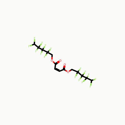 O=C(/C=C\C(=O)OCC(F)(F)C(F)(F)C(F)(F)C(F)F)OCC(F)(F)C(F)(F)C(F)(F)C(F)F